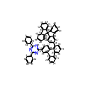 c1ccc(-c2nc(-c3ccccc3)nc(-c3ccc4c(c3)c3ccccc3c3cccc(-c5ccc6c(c5)-c5ccccc5C65c6ccccc6-c6ccccc65)c34)n2)cc1